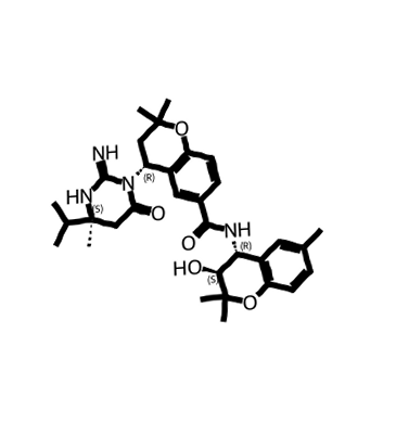 Cc1ccc2c(c1)[C@@H](NC(=O)c1ccc3c(c1)[C@H](N1C(=N)N[C@](C)(C(C)C)CC1=O)CC(C)(C)O3)[C@H](O)C(C)(C)O2